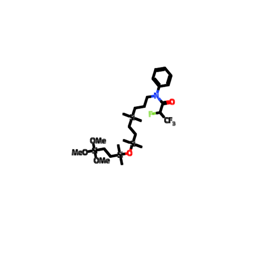 CO[Si](CC[Si](C)(C)O[Si](C)(C)CC[Si](C)(C)CCCN(C(=O)C(F)C(F)(F)F)c1ccccc1)(OC)OC